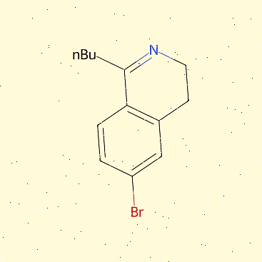 CCCCC1=NCCc2cc(Br)ccc21